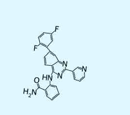 NC(=O)c1ccccc1Nc1nc(-c2cccnc2)nc2cc(-c3cc(F)ccc3F)ccc12